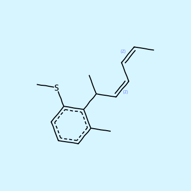 C/C=C\C=C/C(C)c1c(C)cccc1SC